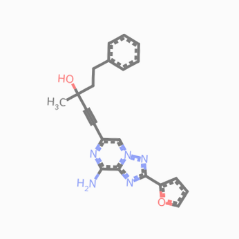 CC(O)(C#Cc1cn2nc(-c3ccco3)nc2c(N)n1)CCc1ccccc1